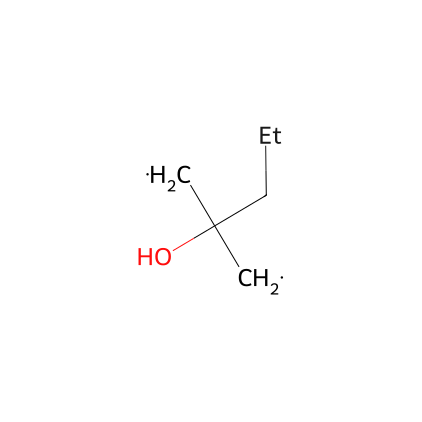 [CH2]C([CH2])(O)CCC